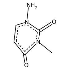 Cn1c(=O)ccn(N)c1=O